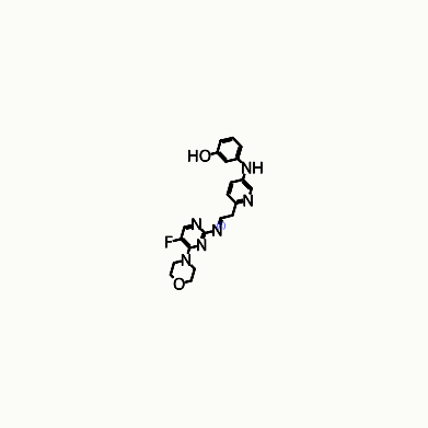 Oc1cccc(Nc2ccc(C/C=N/c3ncc(F)c(N4CCOCC4)n3)nc2)c1